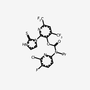 CC(C)N(C(=O)Oc1c(C(F)(F)F)cc(C(F)(F)F)nc1-n1cc[nH]c1=S)c1ccc(F)c(Cl)n1